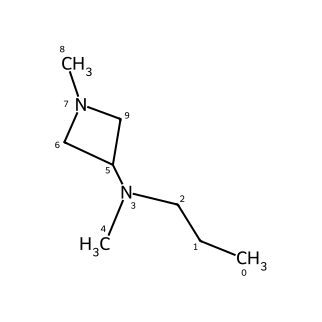 CCCN(C)C1CN(C)C1